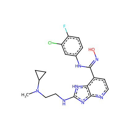 CN(CCNc1nc2nccc(/C(=N/O)Nc3ccc(F)c(Cl)c3)c2[nH]1)C1CC1